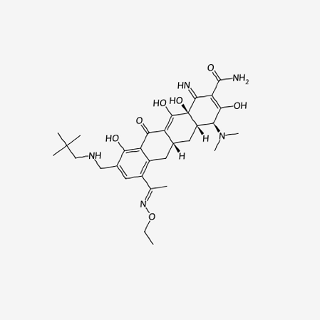 CCO/N=C(\C)c1cc(CNCC(C)(C)C)c(O)c2c1C[C@H]1C[C@H]3[C@H](N(C)C)C(O)=C(C(N)=O)C(=N)[C@@]3(O)C(O)=C1C2=O